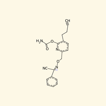 C#CCCc1ccc(CO/N=C(\C#N)c2ccccc2)nc1OC(N)=O